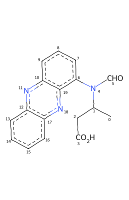 CC(CC(=O)O)N(C=O)c1cccc2nc3ccccc3nc12